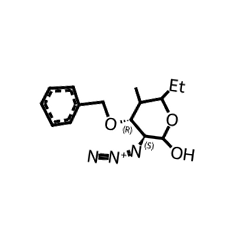 CCC1OC(O)[C@@H](N=[N+]=[N-])[C@H](OCc2ccccc2)C1C